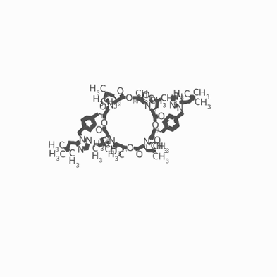 CC(C)C[C@H]1C(=O)O[C@H](Cc2ccc(Cn3ncnc3CC(C)(C)C)cc2)C(=O)N(C)[C@@H](CC(C)C)C(=O)O[C@H](C)C(=O)N(C)[C@@H](CC(C)C)C(=O)O[C@H](Cc2ccc(Cn3ncnc3CC(C)(C)C)cc2)C(=O)N(C)[C@@H](CC(C)C)C(=O)O[C@H](C)C(=O)N1C